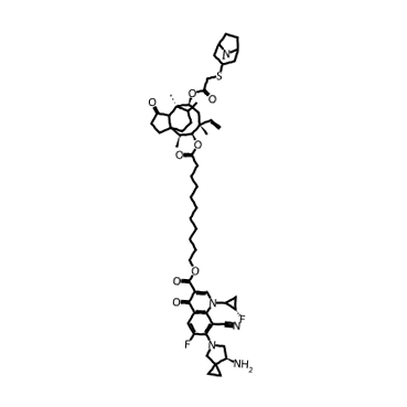 C=C[C@@]1(C)C[C@H](OC(=O)CSC2CC3CCC(C2)N3C)[C@@]2(C)C(C)CCC3(CCC(=O)C32)[C@H](C)[C@@H]1OC(=O)CCCCCCCCCCOC(=O)c1cn(C2C[C@@H]2F)c2c(C#N)c(N3C[C@@H](N)C4(CC4)C3)c(F)cc2c1=O